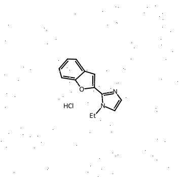 CCn1ccnc1-c1cc2ccccc2o1.Cl